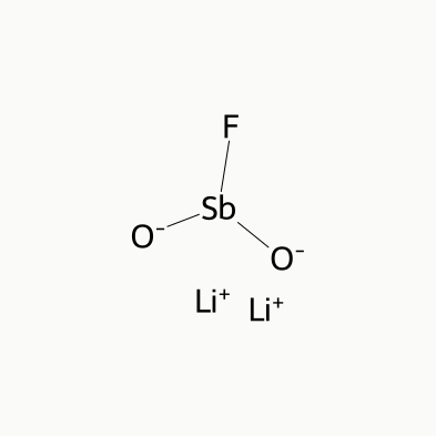 [Li+].[Li+].[O-][Sb]([O-])[F]